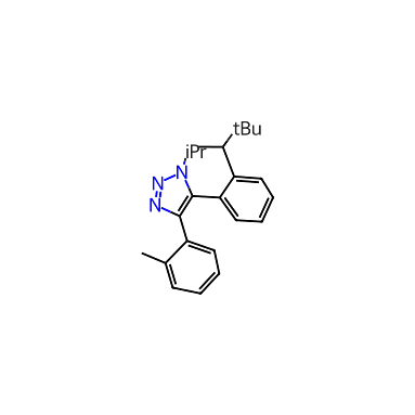 Cc1ccccc1-c1nnn(C(C)C)c1-c1ccccc1C(C)C(C)(C)C